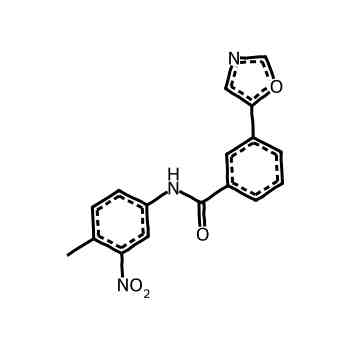 Cc1ccc(NC(=O)c2cccc(-c3cnco3)c2)cc1[N+](=O)[O-]